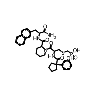 NC(=O)C(Cc1ccc2ccccc2c1)NC(=O)C1CCCCN1C(=O)C(CSCP(=O)(O)O)NC(=O)C1(c2ccccc2)CCCC1